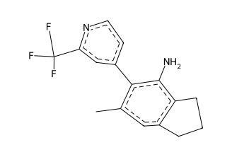 Cc1cc2c(c(N)c1-c1ccnc(C(F)(F)F)c1)CCC2